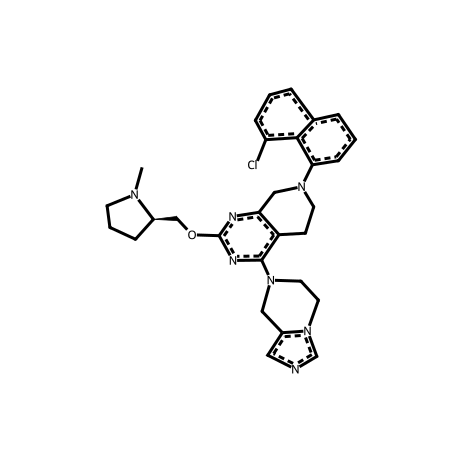 CN1CCC[C@@H]1COc1nc2c(c(N3CCn4cncc4C3)n1)CCN(c1cccc3cccc(Cl)c13)C2